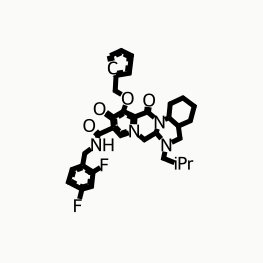 CC(C)CN1CC2CCCCC2N2C(=O)c3c(OCc4ccccc4)c(=O)c(C(=O)NCc4ccc(F)cc4F)cn3CC12